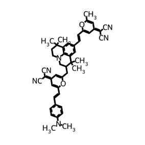 CC1=CC(=C(C#N)C#N)C=C(/C=C/c2cc3c4c(c2)C(C)(C)C(CC2=CC(=C(C#N)C#N)C=C(/C=C/c5ccc(N(C)C)cc5)O2)CN4CCC3(C)C)O1